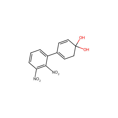 O=[N+]([O-])c1cccc(C2=CCC(O)(O)C=C2)c1[N+](=O)[O-]